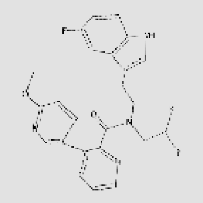 COc1ccc(-c2cccnc2C(=O)N(CCc2c[nH]c3ccc(F)cc23)CC(F)F)cn1